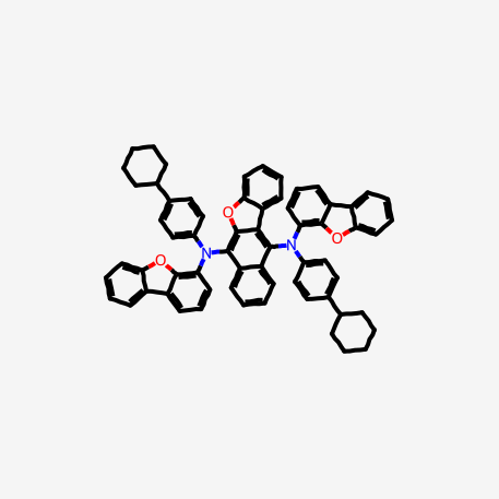 c1ccc2c(c1)oc1c(N(c3ccc(C4CCCCC4)cc3)c3c4ccccc4c(N(c4ccc(C5CCCCC5)cc4)c4cccc5c4oc4ccccc45)c4c3oc3ccccc34)cccc12